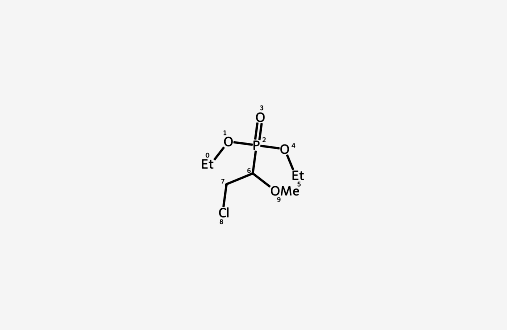 CCOP(=O)(OCC)C(CCl)OC